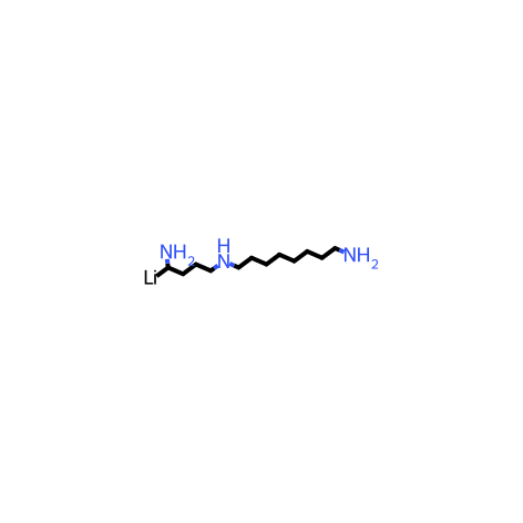 [Li][CH](N)CCCNCCCCCCCCN